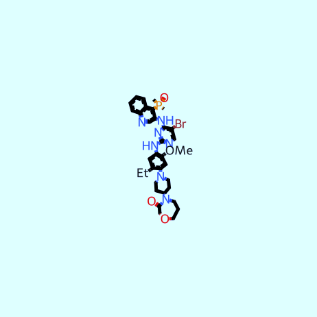 CCc1cc(Nc2ncc(Br)c(Nc3cnc4ccccc4c3P(C)(C)=O)n2)c(OC)cc1N1CCC(N2CCCOCC2=O)CC1